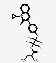 CCC(C)C(=O)OC(C)(C)C(C)(C)Oc1ccc(-c2cc3ccccc3n(C3CC3)c2=O)cc1